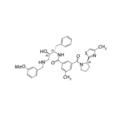 COc1cccc(CNC[C@@H](O)[C@H](Cc2ccccc2)NC(=O)c2cc(C)cc(C(=O)N3CCC[C@@H]3c3nc(C)cs3)c2)c1